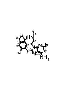 CCNCCn1c(Cc2cc3c(cc2I)CCO3)nc2c(N)nc(F)nc21